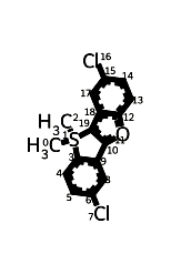 CS1(C)c2ccc(Cl)cc2-c2oc3ccc(Cl)cc3c21